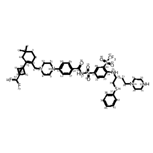 CC1(C)CCC(CN2CCN(c3ccc(C(=O)NS(=O)(=O)c4ccc(N[C@H](CCN5CCNCC5)CSc5ccccc5)c(S(=O)(=O)C(F)(F)F)c4)cc3)CC2)=C(C23CC(C(F)F)(C2)C3)C1